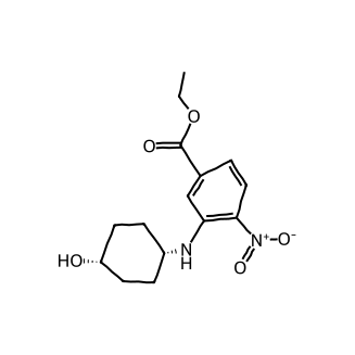 CCOC(=O)c1ccc([N+](=O)[O-])c(N[C@H]2CC[C@@H](O)CC2)c1